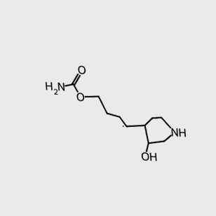 NC(=O)OCCC[CH]C1CCNCC1O